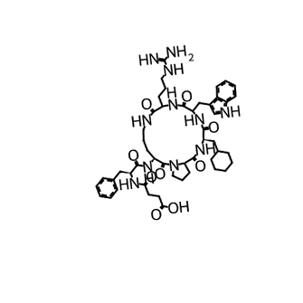 N=C(N)NCCCC1NC(=O)C(Cc2c[nH]c3ccccc23)NC(=O)[C@@H](CC2CCCCC2)NC(=O)C2CCCN2C(=O)[C@@H](NC(=O)[C@H](Cc2ccccc2)NC(=O)CCC(=O)O)CCCNC1=O